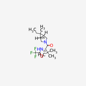 CCC1(C)[C@@H]2CN(C(=O)[C@@H](NC(=O)C(F)(F)F)C(C)(C)C)C[C@@H]21